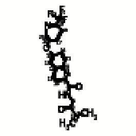 CN(C)C(=O)CNC(=O)c1ccc2cc(Oc3ccc(C(F)(F)F)nc3)ccc2n1